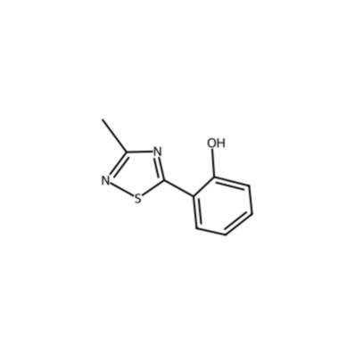 Cc1nsc(-c2ccccc2O)n1